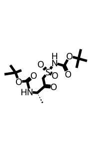 C[C@H](NC(=O)OC(C)(C)C)C(=O)CS(=O)(=O)NC(=O)OC(C)(C)C